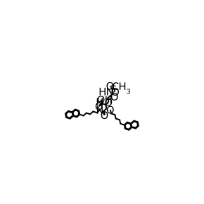 CS(=O)(=O)NC(=O)COC(C(=O)O)C(OCCCCCc1ccc2ccccc2c1)C(=O)NCCCCCc1ccc2ccccc2c1